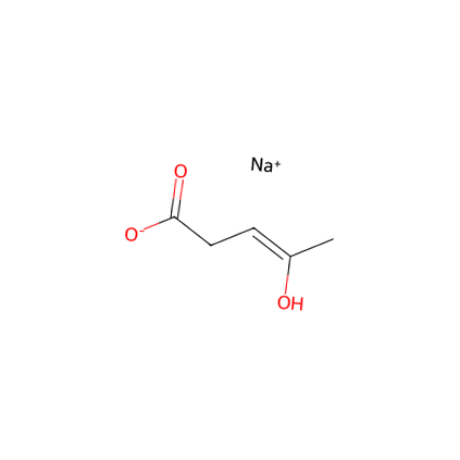 CC(O)=CCC(=O)[O-].[Na+]